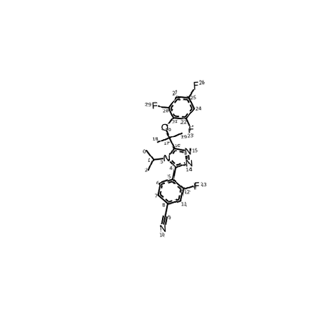 CC(C)n1c(-c2ccc(C#N)cc2F)nnc1C(C)(C)Oc1c(F)cc(F)cc1F